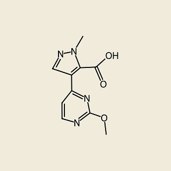 COc1nccc(-c2cnn(C)c2C(=O)O)n1